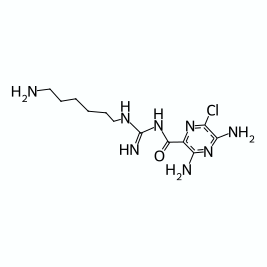 N=C(NCCCCCCN)NC(=O)c1nc(Cl)c(N)nc1N